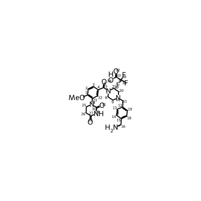 COc1ccc(C(=O)N2CCN(Cc3ccc(CN)cc3)CC2)cc1N1CCC(=O)NC1=O.O=C(O)C(F)(F)F